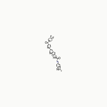 Nc1ccc(/C=C/C(=O)NCc2cc3cc(-c4ccc(C(=O)N5CCC(F)(F)CC5)cn4)cnc3o2)cn1